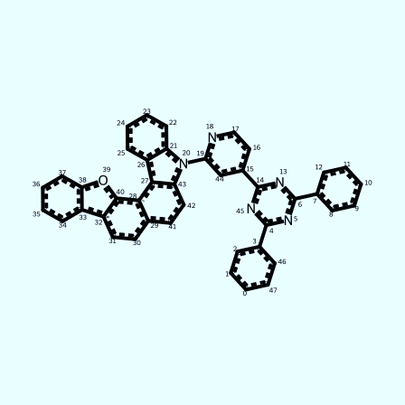 c1ccc(-c2nc(-c3ccccc3)nc(-c3ccnc(-n4c5ccccc5c5c6c(ccc7c8ccccc8oc76)ccc54)c3)n2)cc1